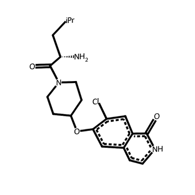 CC(C)C[C@H](N)C(=O)N1CCC(Oc2cc3cc[nH]c(=O)c3cc2Cl)CC1